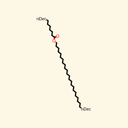 CCCCCCCCCCCCCCCCCCCCCCCCCCCCCCCCCCOC(=O)CCCCCCCCCCCCCCCC